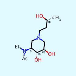 CCN(C(C)=O)[C@H]1CN(CC[C@@H](C)O)C[C@@H](O)[C@@H]1O